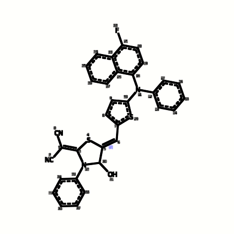 N#CC(C#N)=C1S/C(=C\c2ccc(N(c3ccccc3)c3ccc(F)c4ccccc34)s2)C(O)N1c1ccccc1